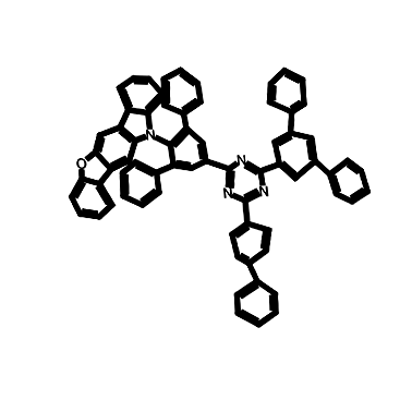 c1ccc(-c2ccc(-c3nc(-c4cc(-c5ccccc5)cc(-c5ccccc5)c4)nc(-c4cc(-c5ccccc5)c(-n5c6ccccc6c6cc7oc8ccccc8c7cc65)c(-c5ccccc5)c4)n3)cc2)cc1